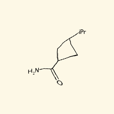 CC(C)C1CC(C(N)=O)C1